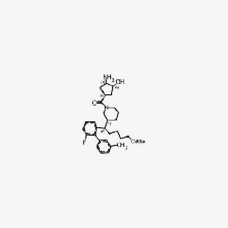 COCCCC[C@@H](c1cccc(F)c1-c1cccc(C)c1)[C@@H]1CCCN(C(=O)[C@H]2C[C@@H](N)[C@@H](O)C2)C1